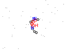 O[C@H](COc1cccc2cc(-c3nnc(-c4ccccc4)o3)oc12)CN1CCC(c2ccc3ccccc3c2)CC1